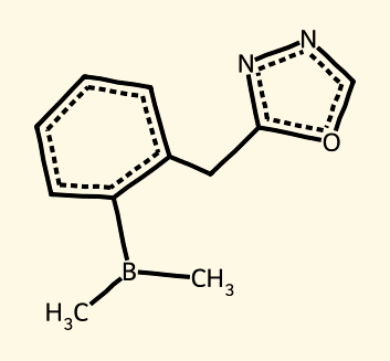 CB(C)c1ccccc1Cc1nnco1